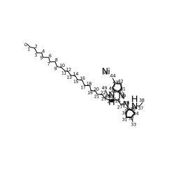 CCCCCCCCCCCCCCCCCCCCCCCCC#CC(C=Nc1ccc(C)cc1NCC)=Nc1ccc(C)cc1NCC.[Ni]